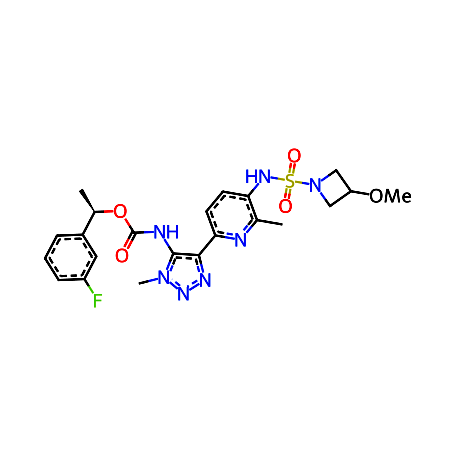 COC1CN(S(=O)(=O)Nc2ccc(-c3nnn(C)c3NC(=O)O[C@H](C)c3cccc(F)c3)nc2C)C1